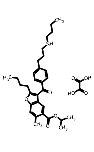 CCCCNCCCc1ccc(C(=O)c2c(CCCC)oc3cc(C)c(C(=O)OC(C)C)cc23)cc1.O=C(O)C(=O)O